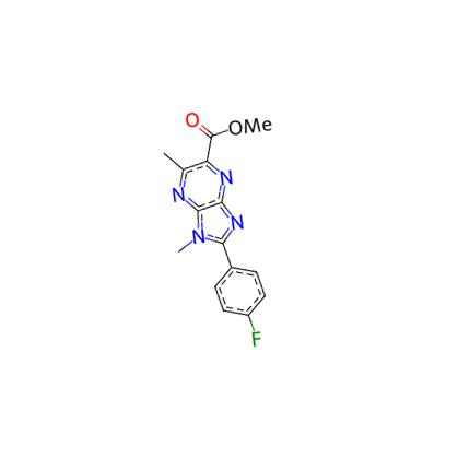 COC(=O)c1nc2nc(-c3ccc(F)cc3)n(C)c2nc1C